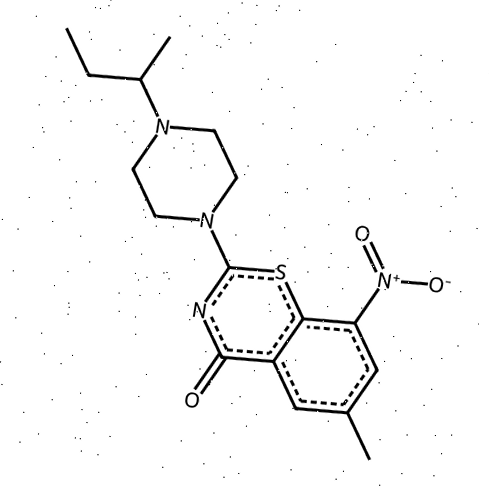 CCC(C)N1CCN(c2nc(=O)c3cc(C)cc([N+](=O)[O-])c3s2)CC1